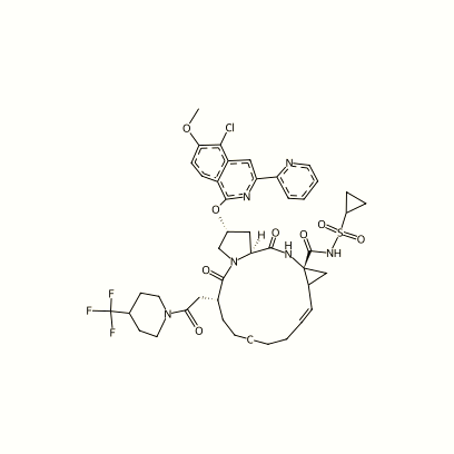 COc1ccc2c(O[C@@H]3C[C@H]4C(=O)N[C@]5(C(=O)NS(=O)(=O)C6CC6)CC5/C=C\CCCCC[C@H](CC(=O)N5CCC(C(F)(F)F)CC5)C(=O)N4C3)nc(-c3ccccn3)cc2c1Cl